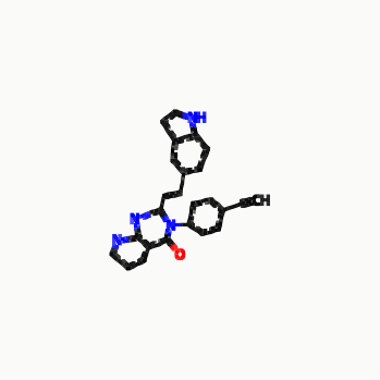 C#Cc1ccc(-n2c(C=Cc3ccc4[nH]ccc4c3)nc3ncccc3c2=O)cc1